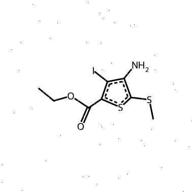 CCOC(=O)c1sc(SC)c(N)c1I